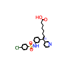 O=C(O)CCCCC/C=C(/c1cccnc1)c1cccc(NS(=O)(=O)c2ccc(Cl)cc2)c1